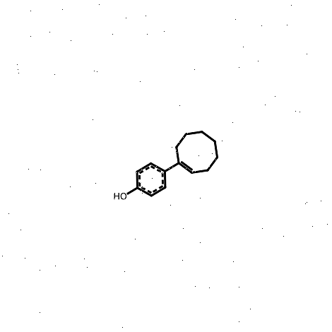 Oc1ccc(C2=CCCCCCC2)cc1